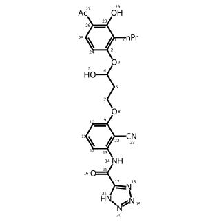 CCCc1c(OC(O)CCOc2cccc(NC(=O)c3nnn[nH]3)c2C#N)ccc(C(C)=O)c1O